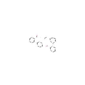 C=C(OOC(=O)c1ccccc1-c1ccccc1)OOC(=O)c1ccccc1-c1ccccc1